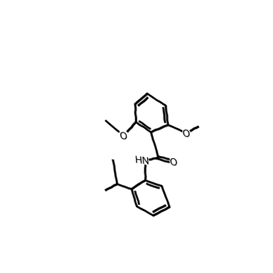 COc1cccc(OC)c1C(=O)Nc1ccccc1C(C)C